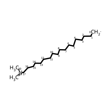 [CH2]CCCCCCCCCCCCCCCCCN(C)C